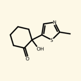 Cc1ncc(C2(O)CCCCC2=O)s1